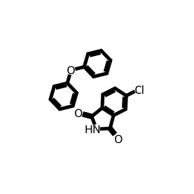 O=C1NC(=O)c2cc(Cl)ccc21.c1ccc(Oc2ccccc2)cc1